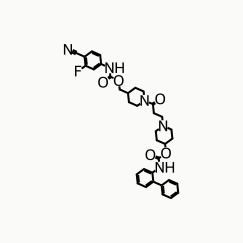 N#Cc1ccc(NC(=O)OCC2CCN(C(=O)CCN3CCC(OC(=O)Nc4ccccc4-c4ccccc4)CC3)CC2)cc1F